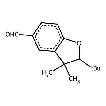 CC(C)(C)C1Oc2ccc(C=O)cc2C1(C)C